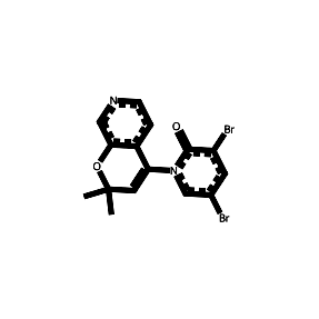 CC1(C)C=C(n2cc(Br)cc(Br)c2=O)c2ccncc2O1